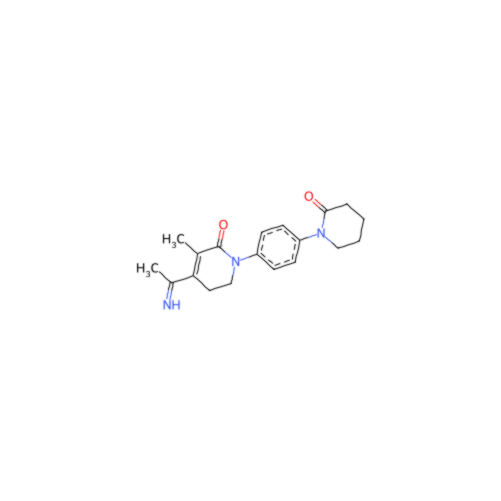 CC(=N)C1=C(C)C(=O)N(c2ccc(N3CCCCC3=O)cc2)CC1